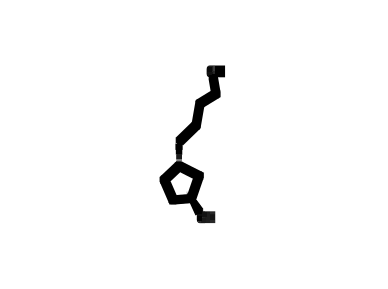 OCCCC[C@H]1CC[C@H](O)C1